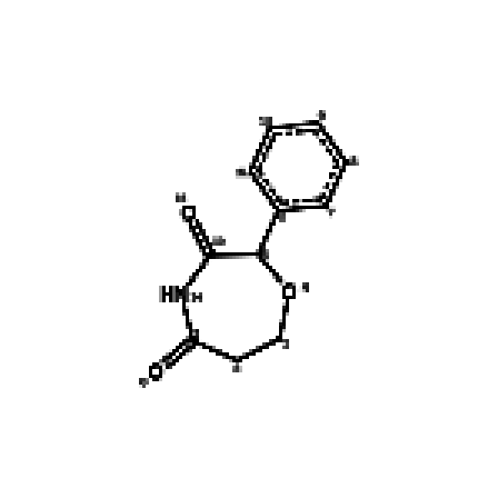 O=C1CCOC(c2ccccc2)C(=O)N1